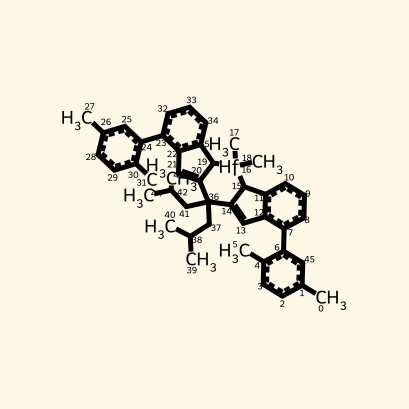 Cc1ccc(C)c(-c2cccc3c2C=C2[CH]3[Hf]([CH3])([CH3])[CH]3C(=Cc4c(-c5cc(C)ccc5C)cccc43)C2(CC(C)C)CC(C)C)c1